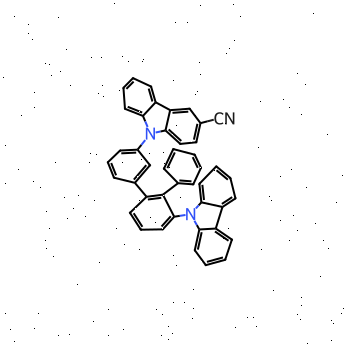 N#Cc1ccc2c(c1)c1ccccc1n2-c1cccc(-c2cccc(-n3c4ccccc4c4ccccc43)c2-c2ccccc2)c1